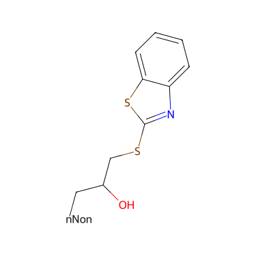 CCCCCCCCCCC(O)CSc1nc2ccccc2s1